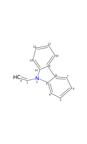 [CH]=Cn1c2ccccc2c2ccccc21